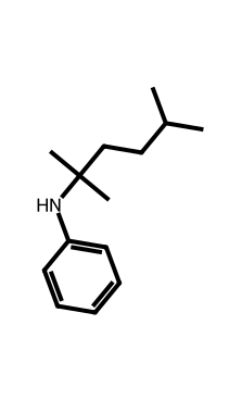 CC(C)CCC(C)(C)Nc1ccccc1